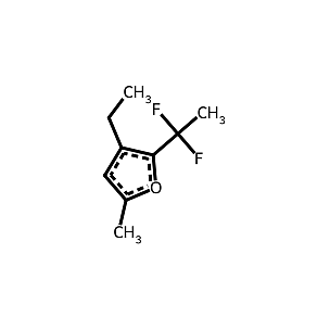 CCc1cc(C)oc1C(C)(F)F